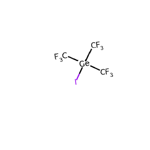 F[C](F)(F)[Ge]([I])([C](F)(F)F)[C](F)(F)F